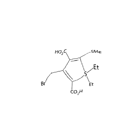 CCS1(CC)C(SC)=C(C(=O)O)C(CBr)=C1C(=O)O